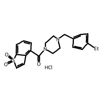 CCc1ccc(CN2CCN(C(=O)c3cccc4c3C=CS4(=O)=O)CC2)cc1.Cl